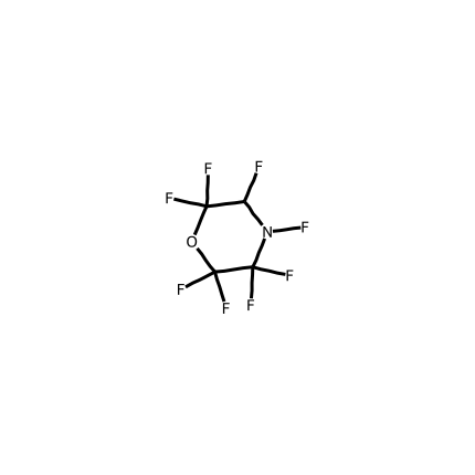 FC1N(F)C(F)(F)C(F)(F)OC1(F)F